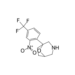 O=[N+]([O-])c1cc(C(F)(F)F)ccc1C12CCC(CNC1)O2